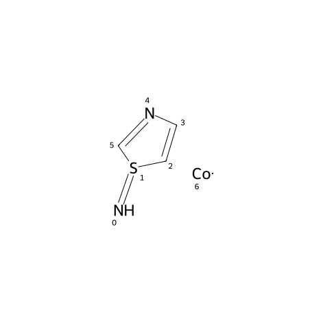 N=S1C=CN=C1.[Co]